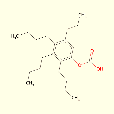 CCCCc1c(CCC)cc(OC(=O)O)c(CCCC)c1CCCC